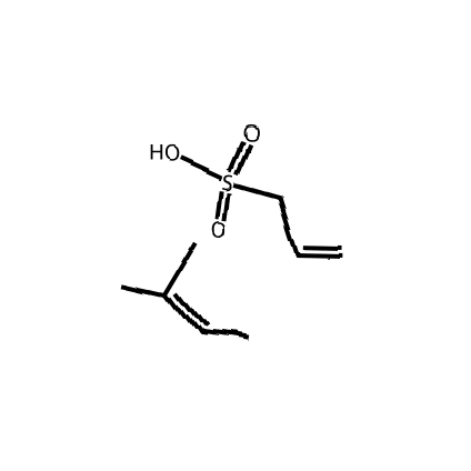 C=CCS(=O)(=O)O.CC=C(C)C